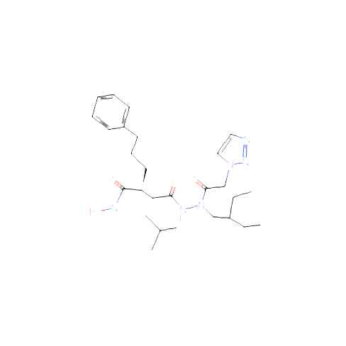 CCC(CC)CN(NC(=O)[C@H](CC(C)C)[C@H](CCCc1ccccc1)C(=O)NO)C(=O)Cn1ccnn1